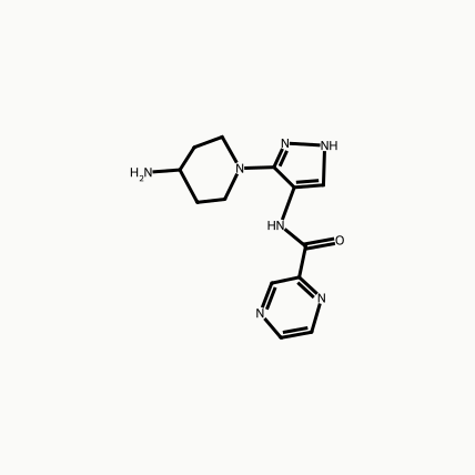 NC1CCN(c2n[nH]cc2NC(=O)c2cnccn2)CC1